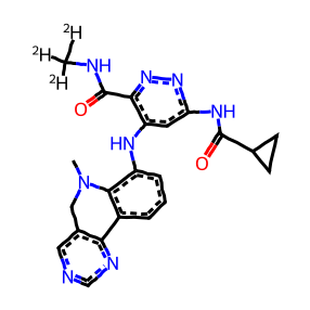 [2H]C([2H])([2H])NC(=O)c1nnc(NC(=O)C2CC2)cc1Nc1cccc2c1N(C)Cc1cncnc1-2